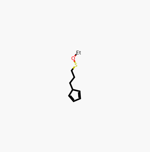 CCOSCCCC1C=CC=C1